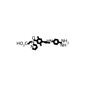 Cc1cc(C(=O)N(CCC(=O)O)c2ccccn2)c(C)cc1C#CCNc1ccc(C(=N)N)cc1